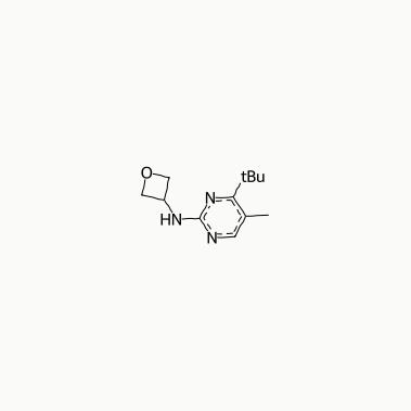 Cc1cnc(NC2COC2)nc1C(C)(C)C